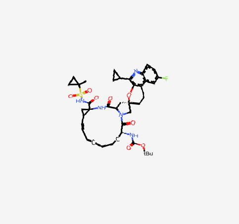 CC(C)(C)OC(=O)N[C@H]1CCCCC/C=C\C2CC2(C(=O)NS(=O)(=O)C2(C)CC2)NC(=O)C2C[C@]3(CCc4c(c(C5CC5)nc5ccc(F)cc45)O3)CN2C1=O